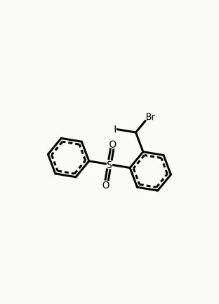 O=S(=O)(c1ccccc1)c1ccccc1C(Br)I